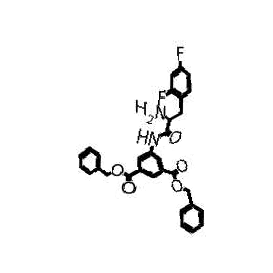 N[C@@H](Cc1ccc(F)cc1F)C(=O)Nc1cc(C(=O)OCc2ccccc2)cc(C(=O)OCc2ccccc2)c1